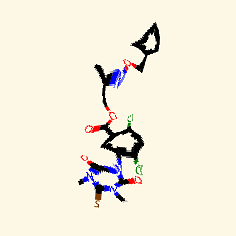 CC(COC(=O)c1cc(-n2c(=O)n(C)c(=S)n(C)c2=O)c(Cl)cc1Cl)=NOCc1ccccc1